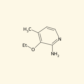 CCOc1c(C)ccnc1N